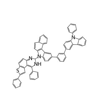 c1ccc(C2=c3c(ccc4sc(-c5ccccc5)cc34)=NC(n3c4ccc(-c5cccc(-c6ccc7c(c6)c6ccccc6n7-c6ccccc6)c5)cc4c4c5ccccc5ccc43)N2)cc1